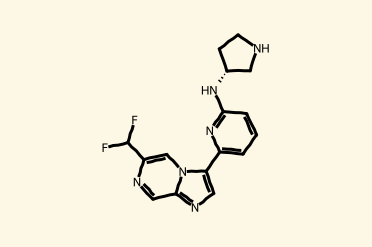 FC(F)c1cn2c(-c3cccc(N[C@@H]4CCNC4)n3)cnc2cn1